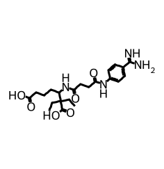 CCC(CC)(C(=O)O)C(CCCC(=O)O)NC(=O)CCC(=O)Nc1ccc(C(=N)N)cc1